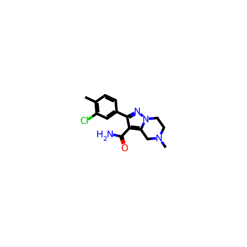 Cc1ccc(-c2nn3c(c2C(N)=O)CN(C)CC3)cc1Cl